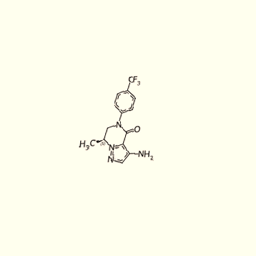 C[C@H]1CN(c2ccc(C(F)(F)F)cc2)C(=O)c2c(N)cnn21